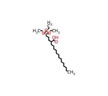 CCCCCCCCCCCCCCC(CCC[Si](OCC)(OCC)OCC)C(=O)O